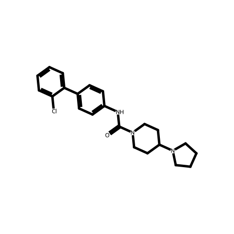 O=C(Nc1ccc(-c2ccccc2Cl)cc1)N1CCC(N2CCCC2)CC1